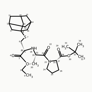 CCOC(=O)[C@H](CSC12CC3CC(CC(C3)C1)C2)N[C@@H](C)C(=O)N1CCC[C@H]1C(=O)OC(C)(C)C